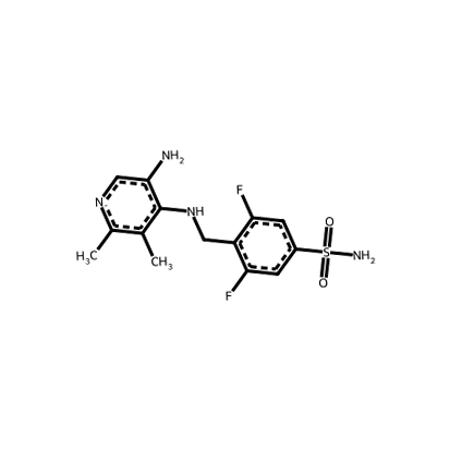 Cc1ncc(N)c(NCc2c(F)cc(S(N)(=O)=O)cc2F)c1C